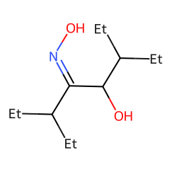 CCC(CC)C(=NO)C(O)C(CC)CC